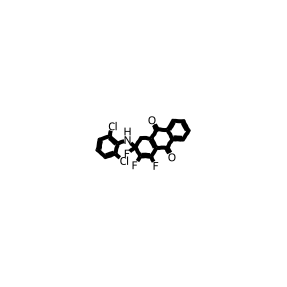 O=C1C2=C(C(=O)c3ccccc31)C(F)=C(F)C(F)(Nc1c(Cl)cccc1Cl)C2